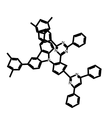 Cc1cc(C)cc(-c2ccc3c(c2)c2cc(-c4cc(C)cc(C)c4)ccc2n3-c2ccc(-c3nc(-c4ccccc4)cc(-c4ccccc4)n3)cc2-c2nc(-c3ccccc3)nc(-c3ccccc3)n2)c1